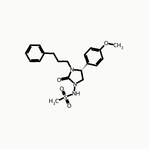 COc1ccc([C@@H]2CN(NS(C)(=O)=O)C(=O)N2CCCc2ccccc2)cc1